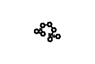 c1ccc(-n2c(-c3cccc(-c4cccc(-c5cccc(-n6c7ccccc7c7ccccc76)c5)c4)c3)nc3ccccc32)cc1